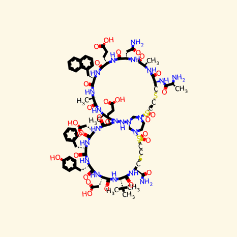 C[C@H](N)C(=O)N[C@H]1CSCCS(=O)(=O)N2CCN3C[N@](C2)NN(C(=O)[C@@H](C)NC(=O)[C@@H](C)NC(=O)[C@H](Cc2cccc4ccccc24)NC(=O)[C@H](CCC(=O)O)NC(=O)[C@H](CC(N)=O)NC(=O)[C@@H](C)NC1=O)[C@@H](CCC(=O)O)C(=O)N[C@@H](CC(=O)O)C(=O)N[C@@H](Cc1ccccc1)C(=O)N[C@@H](Cc1ccc(O)cc1)C(=O)N[C@@H](CC(=O)O)C(=O)N[C@@H](C(C)(C)C)C(=O)N[C@H](C(N)=O)CSCCS3(=O)=O